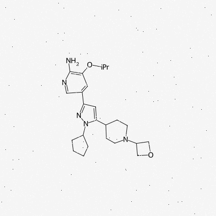 CC(C)Oc1cc(-c2cc(C3CCN(C4COC4)CC3)n(C3CCCC3)n2)cnc1N